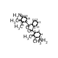 Cc1c(N)ccc(C(=O)c2ccccc2C(=O)c2ccc(N)c(C)c2C)c1C